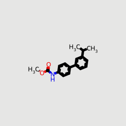 COC(=O)Nc1ccc(-c2cccc(C(C)C)c2)cc1